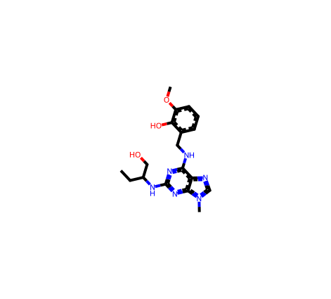 CCC(CO)Nc1nc(NCc2cccc(OC)c2O)c2ncn(C)c2n1